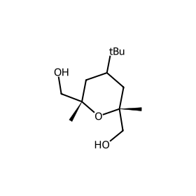 CC(C)(C)C1C[C@](C)(CO)O[C@](C)(CO)C1